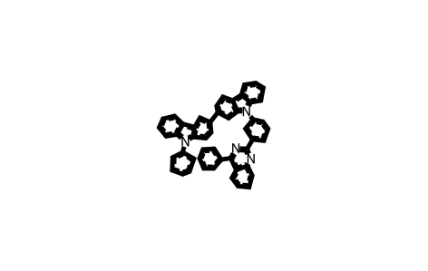 c1ccc(-c2nc(-c3cccc(-n4c5ccccc5c5ccc(-c6ccc7c(c6)c6ccccc6n7-c6ccccc6)cc54)c3)nc3ccccc23)cc1